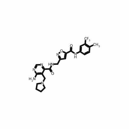 Cc1ccc(NC(=O)c2cc(CNC(=O)c3ncnc(N)c3CN3CCCC3)no2)cc1C(F)(F)F